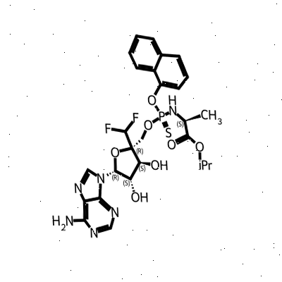 CC(C)OC(=O)[C@H](C)NP(=S)(OC[C@@]1(C(F)F)O[C@@H](n2cnc3c(N)ncnc32)[C@@H](O)[C@@H]1O)Oc1cccc2ccccc12